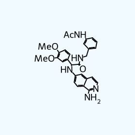 COc1ccc(C(Nc2ccc3c(N)nccc3c2)C(=O)NCc2cccc(NC(C)=O)c2)cc1OC